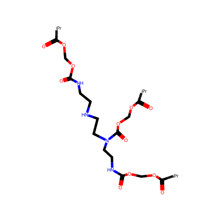 CC(C)C(=O)OCOC(=O)NCCNCCN(CCNC(=O)OCOC(=O)C(C)C)C(=O)OCOC(=O)C(C)C